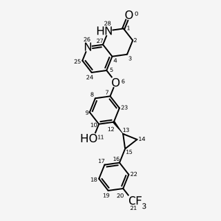 O=C1CCc2c(Oc3ccc(O)c([C@H]4CC4c4cccc(C(F)(F)F)c4)c3)ccnc2N1